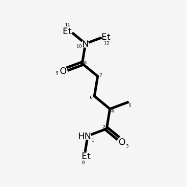 CCNC(=O)C(C)CCC(=O)N(CC)CC